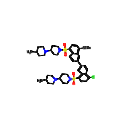 CC(=O)Nc1ccc(S(=O)(=O)N2CCC(N3CCC(C)CC3)CC2)c2ccc(-c3ccc4c(Cl)ccc(S(=O)(=O)N5CCC(N6CCC(C)CC6)CC5)c4c3)cc12